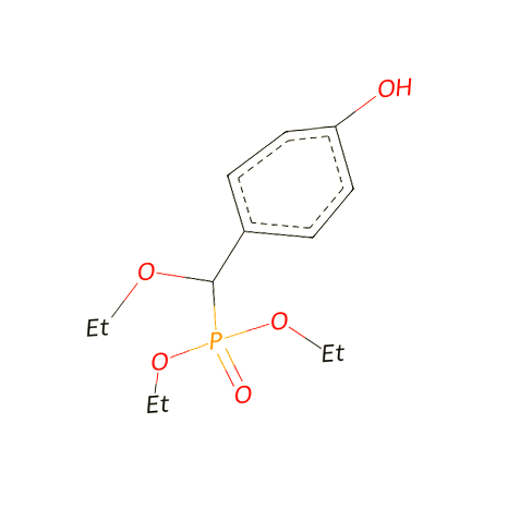 CCOC(c1ccc(O)cc1)P(=O)(OCC)OCC